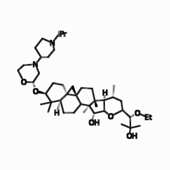 CCO[C@@H](C1C[C@@H](C)[C@H]2C(O1)[C@H](O)[C@@]1(C)C3CC[C@H]4C(C)(C)[C@@H](O[C@H]5CN(C6CCN(C(C)C)CC6)CCO5)CC[C@@]45C[C@@]35CC[C@]21C)C(C)(C)O